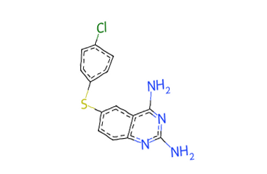 Nc1nc(N)c2cc(Sc3ccc(Cl)cc3)ccc2n1